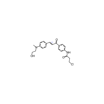 CN(CCO)c1ccc(/C=C/C(=O)c2ccc(NC(=O)CCCl)cc2)cc1